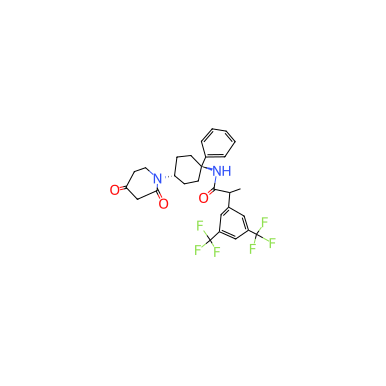 CC(C(=O)N[C@]1(c2ccccc2)CC[C@@H](N2CCC(=O)CC2=O)CC1)c1cc(C(F)(F)F)cc(C(F)(F)F)c1